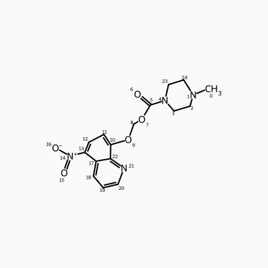 CN1CCN(C(=O)OCOc2ccc([N+](=O)[O-])c3cccnc23)CC1